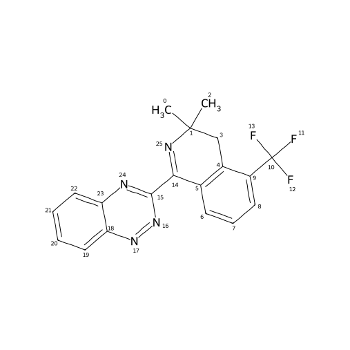 CC1(C)Cc2c(cccc2C(F)(F)F)C(c2nnc3ccccc3n2)=N1